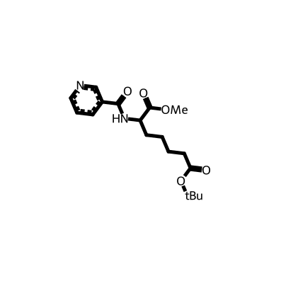 COC(=O)C(CCCCC(=O)OC(C)(C)C)NC(=O)c1cccnc1